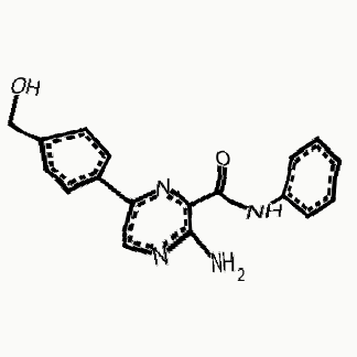 Nc1ncc(-c2ccc(CO)cc2)nc1C(=O)Nc1ccccc1